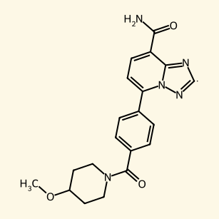 COC1CCN(C(=O)c2ccc(-c3ccc(C(N)=O)c4n[c]nn34)cc2)CC1